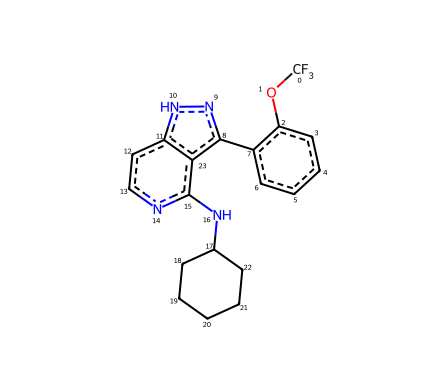 FC(F)(F)Oc1ccccc1-c1n[nH]c2ccnc(NC3CCCCC3)c12